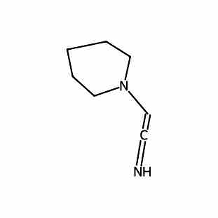 N=C=CN1CCCCC1